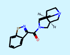 O=C(c1nsc2ccccc12)N1C[C@@H]2CN3C=C1[C@H]2CC3